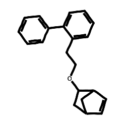 C1=CC2CC1CC2OCCc1ccccc1-c1ccccc1